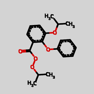 CC(C)OOC(=O)c1cccc(OC(C)C)c1Oc1ccccc1